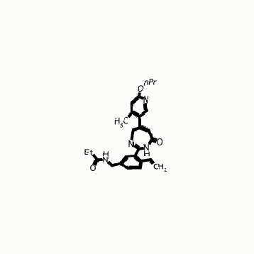 C=Cc1ccc(CNC(=O)CC)cc1C1=NCC(c2cnc(OCCC)cc2C)=CC(=O)N1